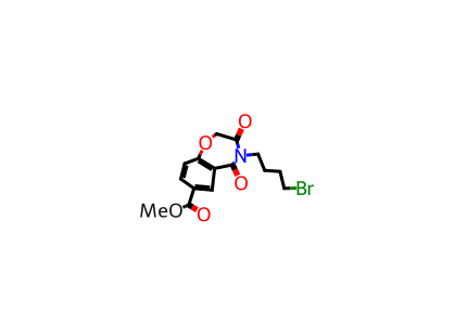 COC(=O)c1ccc2c(c1)C(=O)N(CCCCBr)C(=O)CO2